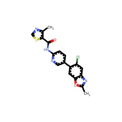 Cc1nc2cc(Cl)c(-c3ccc(NC(=O)c4scnc4C)nc3)cc2o1